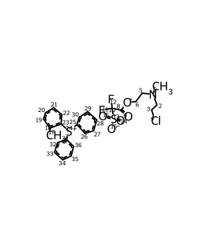 CN(CCCl)CCOC(=O)C(F)(F)S(=O)(=O)[O-].Cc1ccccc1[S+](c1ccccc1)c1ccccc1